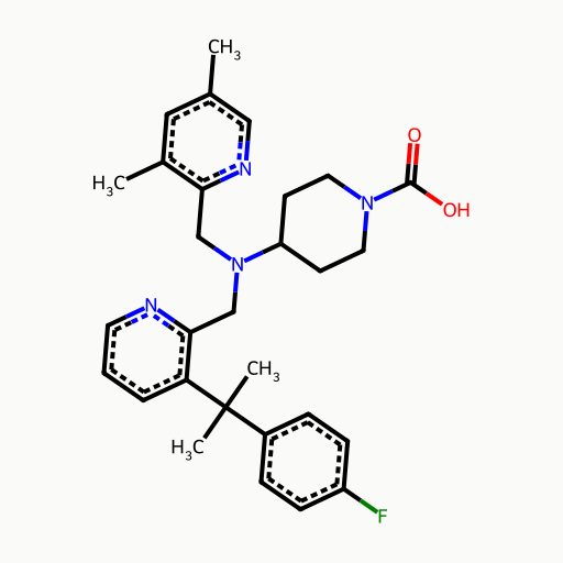 Cc1cnc(CN(Cc2ncccc2C(C)(C)c2ccc(F)cc2)C2CCN(C(=O)O)CC2)c(C)c1